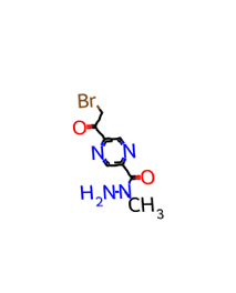 CN(N)C(=O)c1cnc(C(=O)CBr)cn1